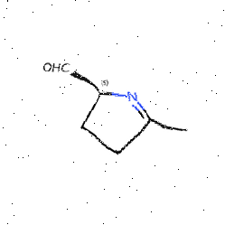 CC1=N[C@H](C=O)CC1